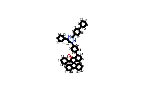 c1ccc(-c2ccc(-c3nc(-c4ccccc4)cc(-c4ccc(-c5cccc6c5-c5oc7ccccc7c5C65c6ccccc6-c6ccccc65)cc4)n3)cc2)cc1